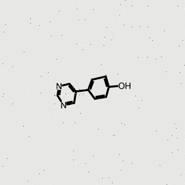 Oc1ccc(-c2cn[c]nc2)cc1